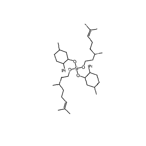 CC(C)=CCCC(C)CCO[Si](OCCC(C)CCC=C(C)C)(OC1CC(C)CCC1C(C)C)OC1CC(C)CCC1C(C)C